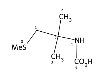 CSCC(C)(C)NC(=O)O